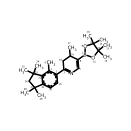 Cc1c(C2=NC=C(B3OC(C)(C)C(C)(C)O3)C(C)C2)ccc2c1C(C)(C)CC2(C)C